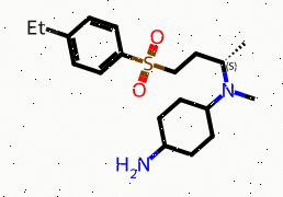 CCc1ccc(S(=O)(=O)CC[C@H](C)N(C)C2CCC(N)CC2)cc1